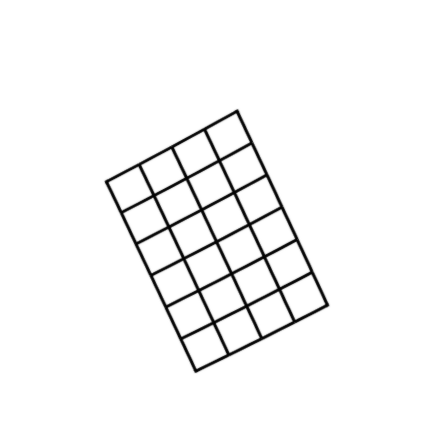 C1C2C3C4CC5C6C7C8C9CC%10C%11C%12CC%13C%14C%15C%16C1C21C32C45C63C74C85C%109C%116C%12%13C%147C%158C%161C23C84C675